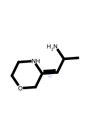 CC(N)/C=C1/COCCN1